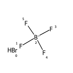 Br.F[B-](F)(F)F